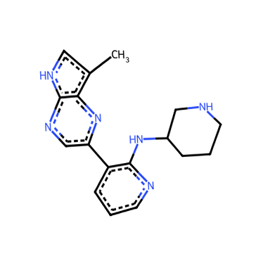 Cc1c[nH]c2ncc(-c3cccnc3NC3CCCNC3)nc12